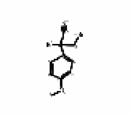 COc1ccc(C(Br)(C#N)CBr)cc1